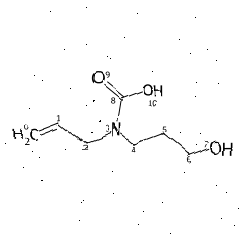 C=CCN(CCCO)C(=O)O